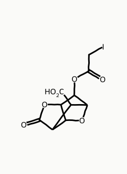 O=C(CI)OC1C2OC(=O)C3C2OC1C3C(=O)O